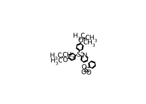 CC(C)(C)Oc1ccc([S+](c2ccc(OC(C)(C)C)cc2)c2ccccn2)cc1.O=S(=O)([O-])c1ccccc1